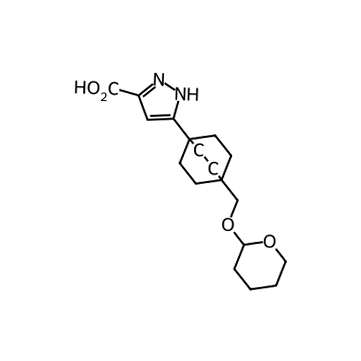 O=C(O)c1cc(C23CCC(COC4CCCCO4)(CC2)CC3)[nH]n1